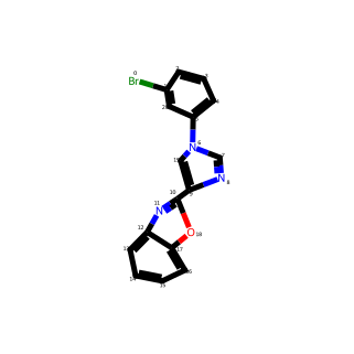 Brc1cccc(-n2cnc(-c3nc4ccccc4o3)c2)c1